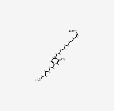 CCCCCCCC/C=C\CCCCCCCCCc1cc[n+](CCCCCCCCCCCCCCCC)cc1.[Cl-]